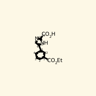 CCOC(=O)c1cccc(-c2cnc(C(=O)O)[nH]2)c1